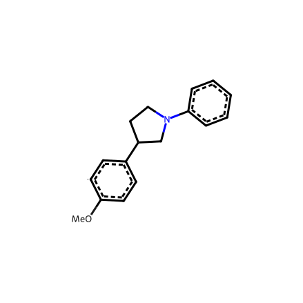 COc1[c]cc(C2CCN(c3ccccc3)C2)cc1